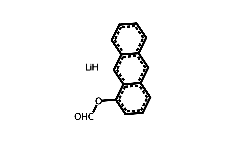 O=COc1cccc2cc3ccccc3cc12.[LiH]